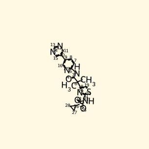 CC(C)(C(=O)Nc1ccc(-c2cncnc2)cn1)c1csc(NS(=O)(=O)C2CC2)n1